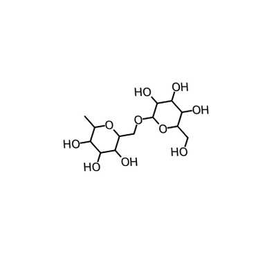 CC1OC(COC2OC(CO)C(O)C(O)C2O)C(O)C(O)C1O